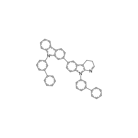 C1=Nc2c(c3cc(-c4ccc5c6ccccc6n(-c6cccc(-c7ccccc7)c6)c5c4)ccc3n2-c2cccc(-c3ccccc3)c2)CC1